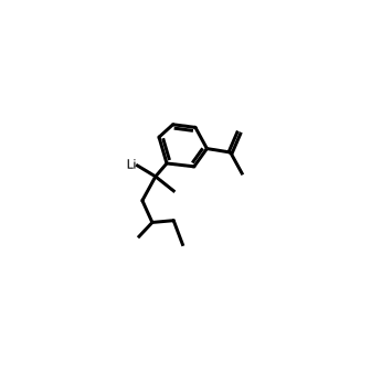 [Li][C](C)(CC(C)CC)c1cccc(C(=C)C)c1